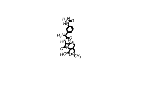 COCC1=C(C(=O)O)N2C(=O)C(NC(=O)C(N)c3cccc(NC(N)=O)c3)[C@H]2SC1